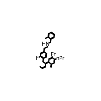 C=c1cc(CCC)c(CC)c/c1=C(/C=C\C)Cc1ccc(CCNCc2ccccc2C)cc1F